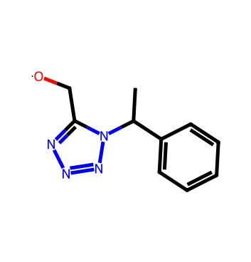 CC(c1ccccc1)n1nnnc1C[O]